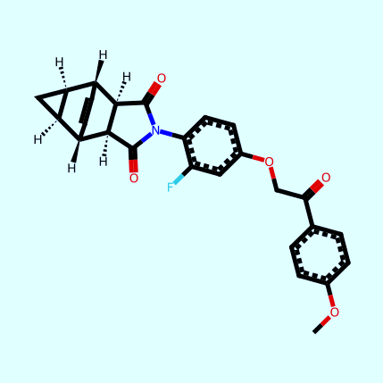 COc1ccc(C(=O)COc2ccc(N3C(=O)[C@@H]4[C@@H]5C=C[C@@H]([C@H]6C[C@@H]56)[C@@H]4C3=O)c(F)c2)cc1